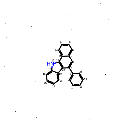 c1ccc(-c2cc3ccccc3c3[nH]c4ccccc4c23)cc1